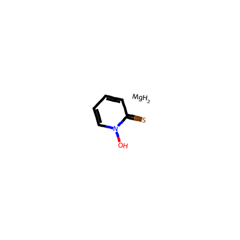 On1ccccc1=S.[MgH2]